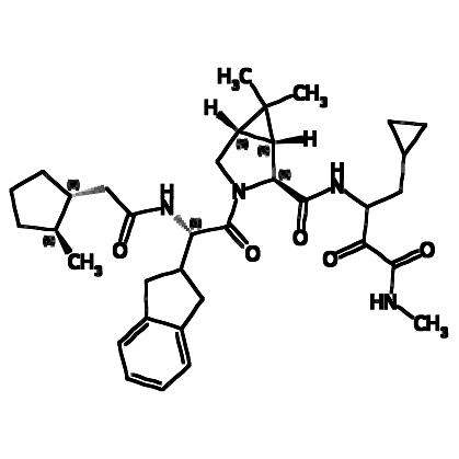 CNC(=O)C(=O)C(CC1CC1)NC(=O)[C@@H]1[C@@H]2[C@H](CN1C(=O)[C@@H](NC(=O)C[C@H]1CCC[C@@H]1C)C1Cc3ccccc3C1)C2(C)C